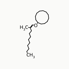 CCCCCCCCCC(C)=COC1CCCCCCCCCCC1